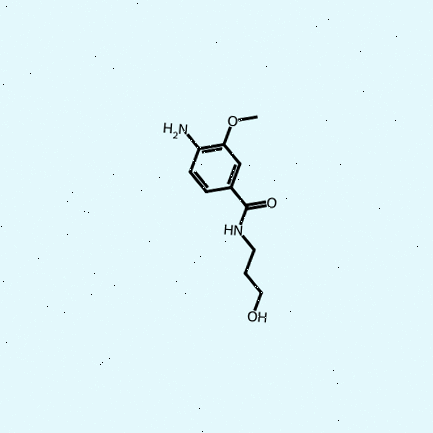 COc1cc(C(=O)NCCCO)ccc1N